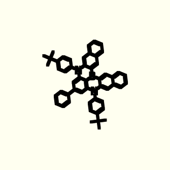 CC(C)(C)c1ccc(N2c3cc4ccccc4cc3B3c4cc5ccccc5cc4N(c4ccc(C(C)(C)C)cc4)c4cc(-c5ccccc5)cc2c43)cc1